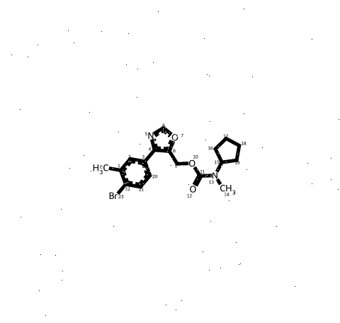 Cc1cc(-c2ncoc2COC(=O)N(C)C2CCCC2)ccc1Br